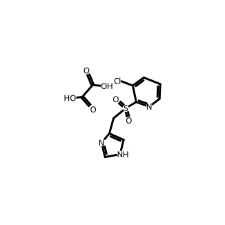 O=C(O)C(=O)O.O=S(=O)(Cc1c[nH]cn1)c1ncccc1Cl